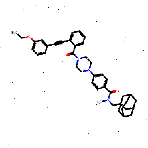 CCOc1cccc(C#Cc2ccccc2C(=O)N2CCN(c3ccc(C(=O)N(C)CC45CC6CC(CC(C6)C4)C5)cc3)CC2)c1